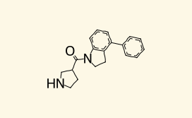 O=C(C1CCNC1)N1CCc2c(-c3ccccc3)cccc21